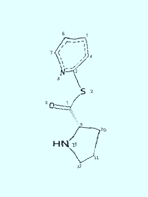 O=C(Sc1ccccn1)[C@@H]1CCCN1